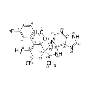 COC1C(c2cccc(F)c2)=C(C)C(Cl)=CC1(Cl)C(C)Nc1ncnc2[nH]cnc12